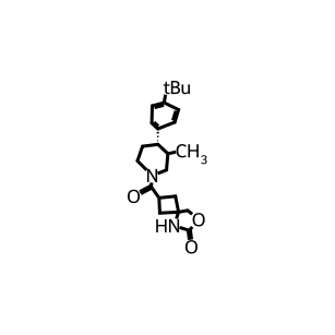 CC1CN(C(=O)C2CC3(COC(=O)N3)C2)CC[C@@H]1c1ccc(C(C)(C)C)cc1